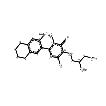 CCc1nc(-c2cc3c(cc2OC)CCCC3)n(C)c(=O)c1NCC(COC)OC